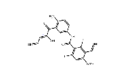 CNc1cc(F)c(C(=O)Nc2ccc(N)c(C(=N)/C(O)=C/C=N)c2)c(F)c1C=N